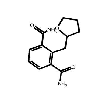 NC(=O)c1cccc(C(N)=O)c1CC1CCCO1